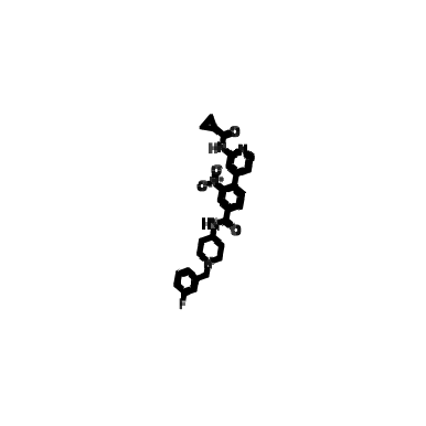 O=C(NC1CCN(Cc2cccc(F)c2)CC1)c1ccc(-c2ccnc(NC(=O)C3CC3)c2)c([N+](=O)[O-])c1